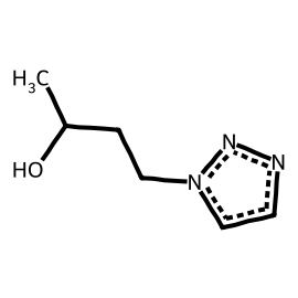 CC(O)CCn1ccnn1